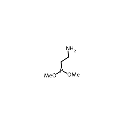 COP(CCN)OC